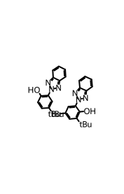 CC(C)(C)c1cc(-n2nc3ccccc3n2)c(O)c(C(C)(C)C)c1.CC(C)(C)c1ccc(O)c(-n2nc3ccccc3n2)c1